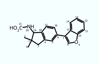 CC1(C)Cc2cc(-c3coc4ccccc34)ccc2C1NC(=O)O